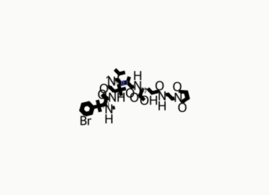 CN[C@@H](C(=O)NC(C(=O)N(C)[C@H](/C=C(\C)C(=O)N[C@H](CCC(=O)NCCN1C(=O)C=CC1=O)C(=O)O)C(C)C)C(C)(C)C)C(C)(C)c1cccc(Br)c1